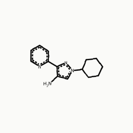 Nc1cn(C2CCCCC2)nc1-c1ccccn1